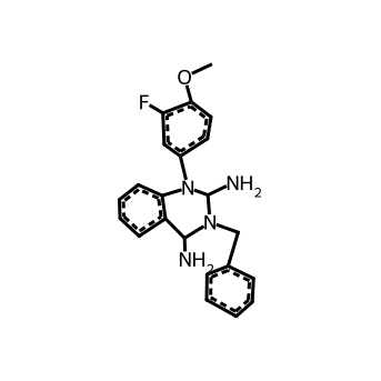 COc1ccc(N2c3ccccc3C(N)N(Cc3ccccc3)C2N)cc1F